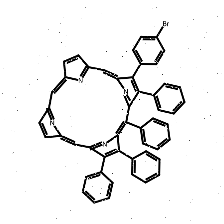 Brc1ccc(C2=C(c3ccccc3)C3=NC2=CC2=NC(=CC4=NC(=CC5=NC(=C3c3ccccc3)C(c3ccccc3)=C5c3ccccc3)C=C4)C=C2)cc1